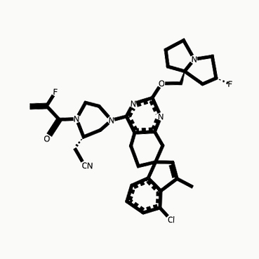 C=C(F)C(=O)N1CCN(c2nc(OC[C@@]34CCCN3C[C@H](F)C4)nc3c2CCC2(C=C(C)c4c(Cl)cccc42)C3)C[C@@H]1CC#N